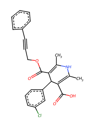 CC1=C(C(=O)O)C(c2cccc(Cl)c2)C(C(=O)OCC#Cc2ccccc2)=C(C)N1